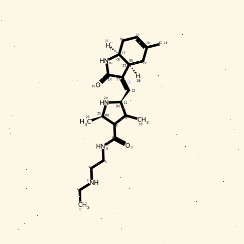 CCNCCNC(=O)C1C(C)[C@H](/C=C2\C(=O)N[C@H]3CC=C(F)C[C@@H]23)N[C@@H]1C